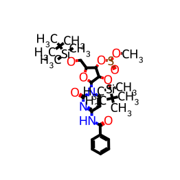 COS(=O)OC1C(CO[Si](C)(C)C(C)(C)C)OC(n2ccc(NC(=O)c3ccccc3)nc2=O)C1O[Si](C)(C)C(C)(C)C